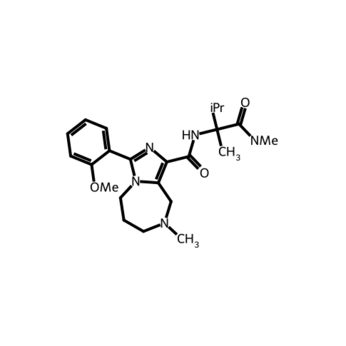 CNC(=O)C(C)(NC(=O)c1nc(-c2ccccc2OC)n2c1CN(C)CCC2)C(C)C